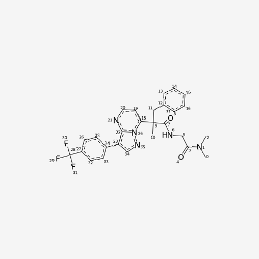 CN(C)C(=O)CNC(=O)C(C)(Cc1ccccc1)c1ccnc2c(-c3ccc(C(F)(F)F)cc3)cnn12